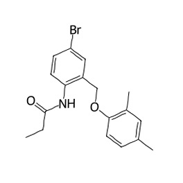 CCC(=O)Nc1ccc(Br)cc1COc1ccc(C)cc1C